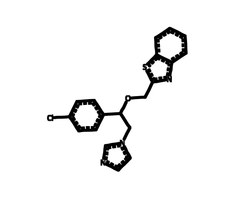 Clc1ccc(C(Cn2ccnc2)OCc2nc3ccccc3s2)cc1